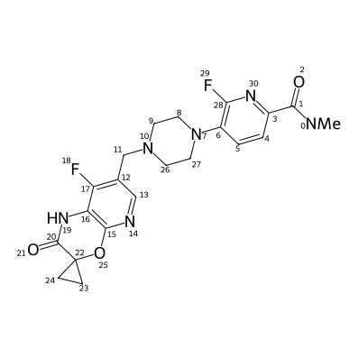 CNC(=O)c1ccc(N2CCN(Cc3cnc4c(c3F)NC(=O)C3(CC3)O4)CC2)c(F)n1